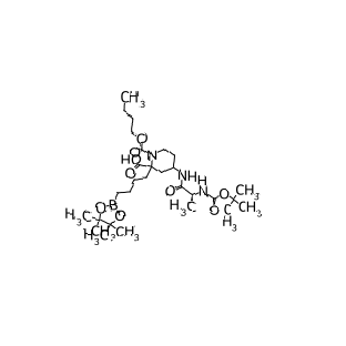 CCCCOC(=O)N1CCC(NC(=O)[C@H](C)NC(=O)OC(C)(C)C)CC1(CCCCB1OC(C)(C)C(C)(C)O1)C(=O)O